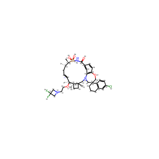 C[C@@H]1[C@@H](C)C/C=C/[C@](C)(OCCN2CC(F)(F)C2)[C@@H]2CC[C@H]2CN2C[C@@]3(CCCc4cc(Cl)ccc43)COc3ccc(cc32)C(=O)NS1(=O)=O